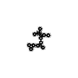 C1=CC2C(C=C1C1C=c3c(n(-c4nc(-c5ccccc5)nc(-c5ccccc5)n4)c4ccc(-c5ccccc5)cc34)=CC1)c1cc(-c3ccc4c5ccccc5c5ccccc5c4c3)ccc1N2c1ccccc1